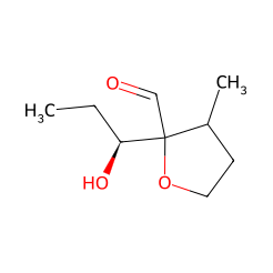 CC[C@H](O)C1(C=O)OCCC1C